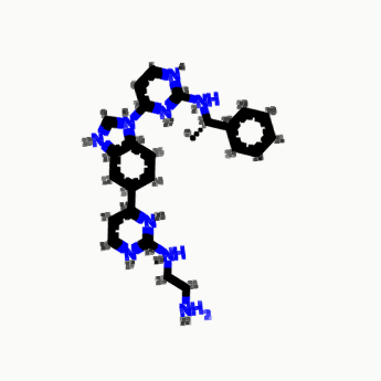 C[C@H](Nc1nccc(-n2cnc3cc(-c4ccnc(NCCN)n4)ccc32)n1)c1ccccc1